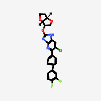 Fc1ccc(-c2ccc(-c3nc4nc(OC5CO[C@@H]6CCO[C@H]56)[nH]c4cc3Cl)cc2)cc1F